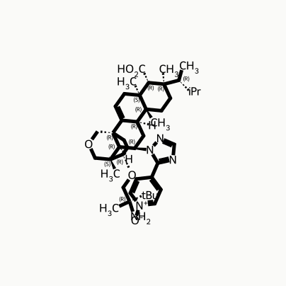 CC(C)[C@@H](C)[C@@]1(C)CC[C@]2(C)[C@H]3CC[C@@H]4[C@@]5(COC[C@@]4(C)[C@@H](OC[C@](C)(N)C(C)(C)C)[C@H](n4ncnc4-c4cc[n+]([O-])cc4)C5)C3=CC[C@@]2(C)[C@@H]1C(=O)O